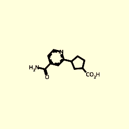 NC(=O)c1ccnc(C2CCC(C(=O)O)C2)c1